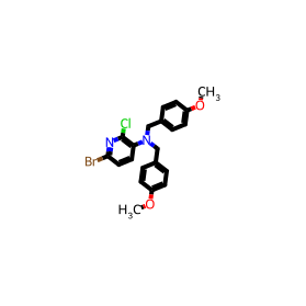 COc1ccc(CN(Cc2ccc(OC)cc2)c2ccc(Br)nc2Cl)cc1